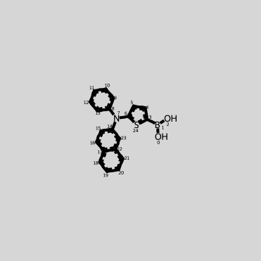 OB(O)c1ccc(N(c2ccccc2)c2ccc3ccccc3c2)s1